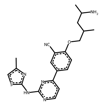 Cc1csc(Nc2nccc(-c3ccc(OCC(C)CC(C)N)c(C#N)c3)n2)n1